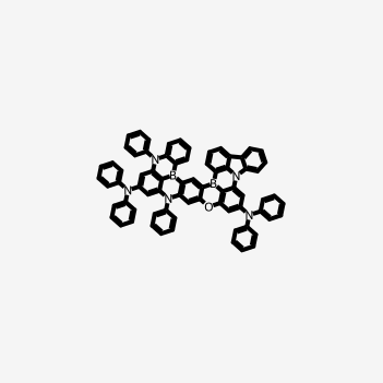 c1ccc(N(c2ccccc2)c2cc3c4c(c2)N(c2ccccc2)c2cc5c(cc2B4c2ccccc2N3c2ccccc2)B2c3c(cc(N(c4ccccc4)c4ccccc4)cc3-n3c4ccccc4c4cccc2c43)O5)cc1